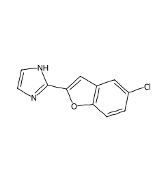 Clc1ccc2oc(-c3ncc[nH]3)cc2c1